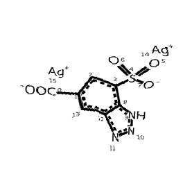 O=C([O-])c1cc(S(=O)(=O)[O-])c2[nH]nnc2c1.[Ag+].[Ag+]